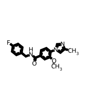 COc1cc(C(=O)NCc2ccc(F)cc2)ccc1-n1cnc(C)c1